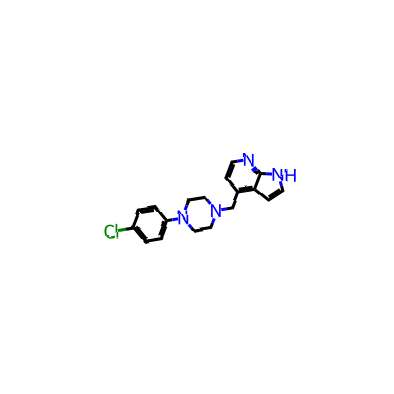 Clc1ccc(N2CCN(Cc3ccnc4[nH]ccc34)CC2)cc1